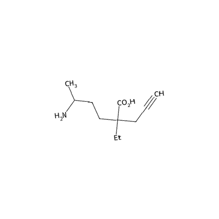 C#CCC(CC)(CCC(C)N)C(=O)O